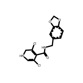 O=C(NCc1ccc2c(c1)OCO2)C1=C(Cl)CNC=C1Cl